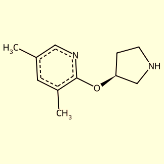 Cc1cnc(O[C@H]2CCNC2)c(C)c1